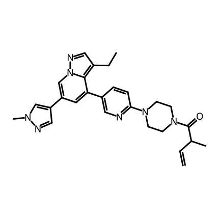 C=CC(C)C(=O)N1CCN(c2ccc(-c3cc(-c4cnn(C)c4)cn4ncc(CC)c34)cn2)CC1